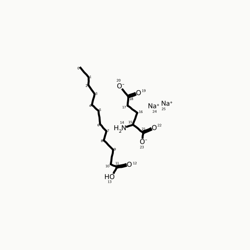 CCCCCCCCCCCC(=O)O.NC(CCC(=O)[O-])C(=O)[O-].[Na+].[Na+]